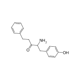 NC(Cc1ccc(O)cc1)C(=O)CCc1ccccc1